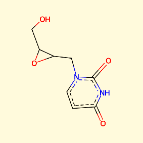 O=c1ccn(CC2OC2CO)c(=O)[nH]1